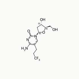 Nc1nc(=O)n([C@H]2C[C@H](O)[C@@H](CO)O2)cc1CCC(F)(F)F